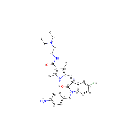 CCN(CC)CCNC(=O)c1c(C)[nH]c(/C=C2\C(=O)N(Cc3ccc(N)cc3)c3ccc(F)cc32)c1C